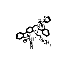 COCCOc1cc(-c2ccccc2S(=O)(=O)NC#N)ccc1CN(Cc1ccccc1)S(=O)(=O)c1cccs1